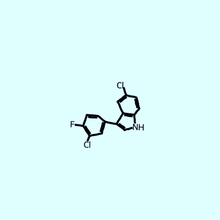 Fc1ccc(-c2c[nH]c3ccc(Cl)cc23)cc1Cl